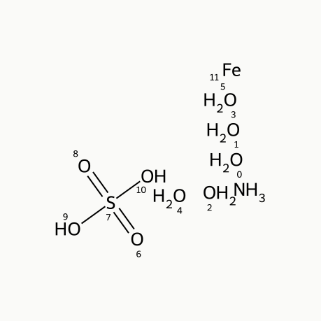 N.O.O.O.O.O.O=S(=O)(O)O.[Fe]